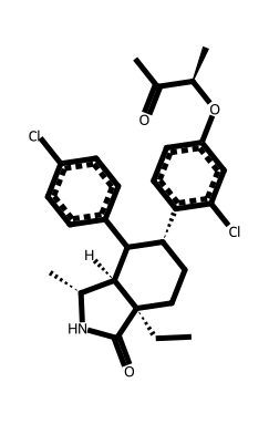 CC[C@@]12CC[C@@H](c3ccc(O[C@H](C)C(C)=O)cc3Cl)C(c3ccc(Cl)cc3)[C@@H]1[C@@H](C)NC2=O